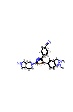 CN1Cc2cc(-c3sc(N4CCC5CNCC5C4)nc3-c3ccc(C#N)cc3)ccc2N1C